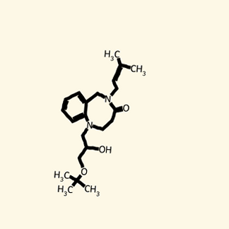 CC(C)=CCN1Cc2ccccc2N(CC(O)COC(C)(C)C)CCC1=O